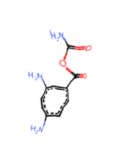 NC(=O)OC(=O)c1ccc(N)cc1N